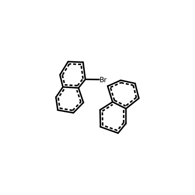 Brc1cccc2ccccc12.c1ccc2ccccc2c1